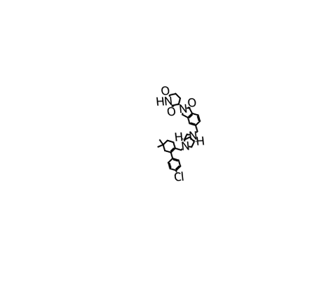 CC1(C)CCC(CN2C[C@H]3C[C@@H]2CN3Cc2ccc3c(c2)CN(C2CCC(=O)NC2=O)C3=O)=C(c2ccc(Cl)cc2)C1